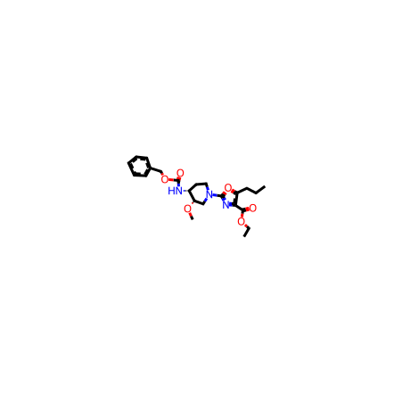 CCCc1oc(N2CC[C@@H](NC(=O)OCc3ccccc3)[C@@H](OC)C2)nc1C(=O)OCC